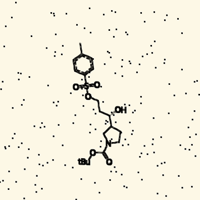 Cc1ccc(S(=O)(=O)OCC[C@H](O)C2CCN(C(=O)OC(C)(C)C)C2)cc1